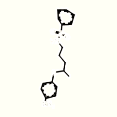 CC(CCCNS(=O)(=O)c1ccccc1)Sc1ccc(N)cc1